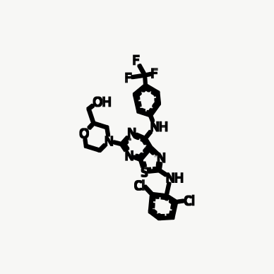 OCC1CN(c2nc(Nc3ccc(C(F)(F)F)cc3)c3nc(Nc4c(Cl)cccc4Cl)sc3n2)CCO1